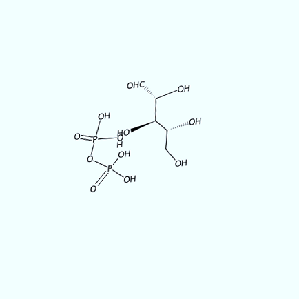 O=C[C@H](O)[C@H](O)[C@H](O)CO.O=P(O)(O)OP(=O)(O)O